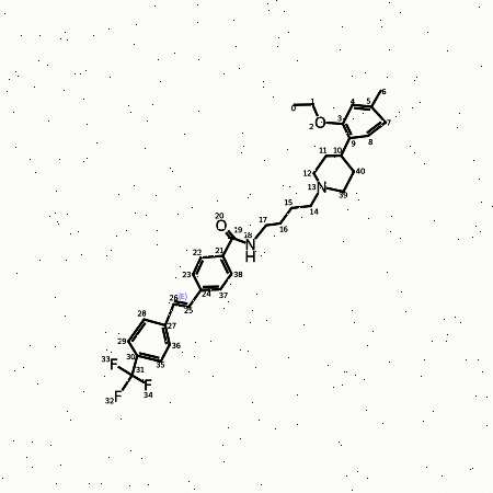 CCOc1cc(C)ccc1C1CCN(CCCCNC(=O)c2ccc(/C=C/c3ccc(C(F)(F)F)cc3)cc2)CC1